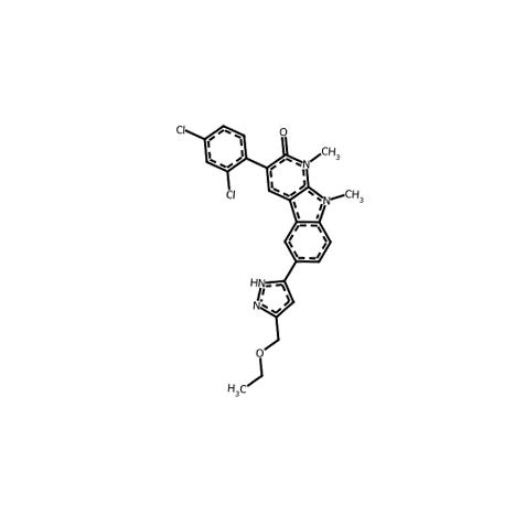 CCOCc1cc(-c2ccc3c(c2)c2cc(-c4ccc(Cl)cc4Cl)c(=O)n(C)c2n3C)[nH]n1